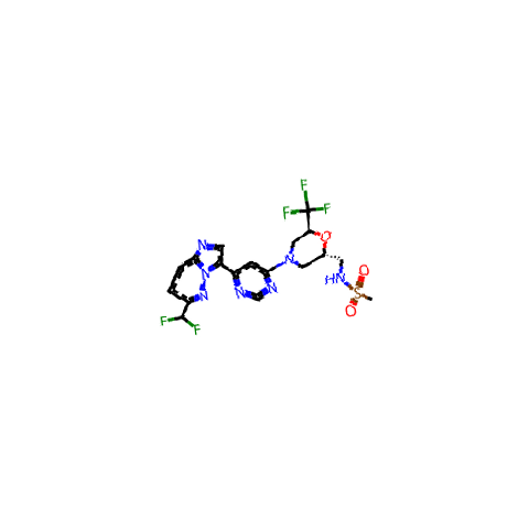 CS(=O)(=O)NC[C@@H]1CN(c2cc(-c3cnc4ccc(C(F)F)nn34)ncn2)C[C@@H](C(F)(F)F)O1